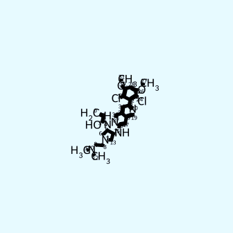 C=CC(O)N[C@H]1CN(CCN(C)C)C[C@H]1Nc1cc2cnc(-c3c(Cl)c(OC)cc(OC)c3Cl)cc2cn1